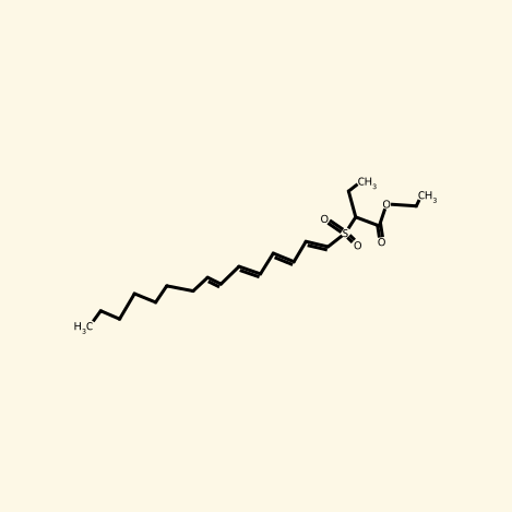 CCCCCCCC=CC=CC=CC=CS(=O)(=O)C(CC)C(=O)OCC